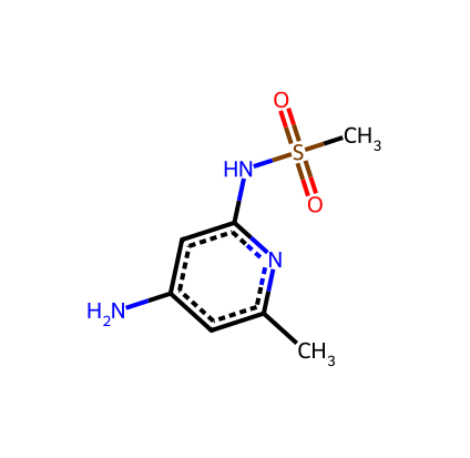 Cc1cc(N)cc(NS(C)(=O)=O)n1